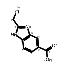 O=C(O)c1ccc2[nH]c(CCl)nc2c1